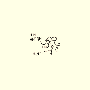 N=C(N)NCCCC(NC(=O)C(CCCCN)NC(=O)C1CCCN1C(=O)Cc1cccc2ccccc12)C(N)=O